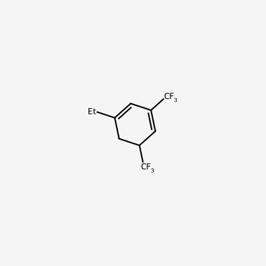 CCC1=CC(C(F)(F)F)=CC(C(F)(F)F)C1